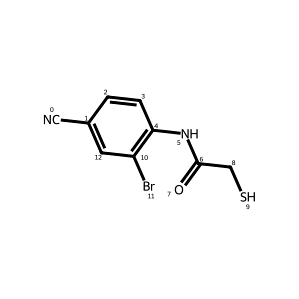 N#Cc1ccc(NC(=O)CS)c(Br)c1